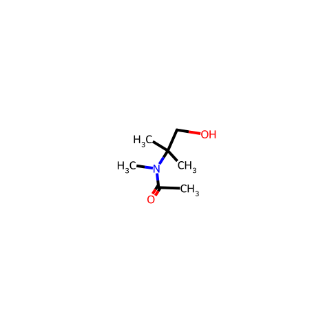 CC(=O)N(C)C(C)(C)CO